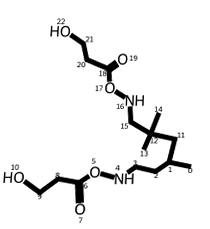 CC(CCNOC(=O)CCO)CC(C)(C)CNOC(=O)CCO